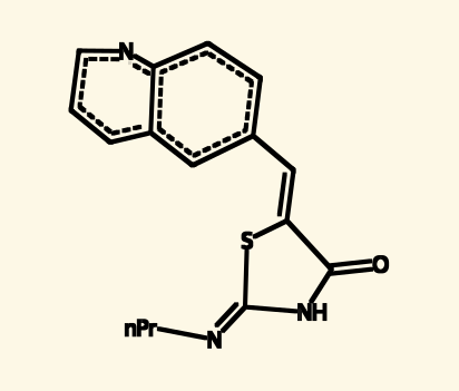 CCCN=C1NC(=O)C(=Cc2ccc3ncccc3c2)S1